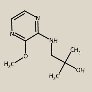 COc1nccnc1NCC(C)(C)O